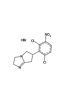 Br.O=[N+]([O-])c1ccc(Cl)c(C2CC3=NCCN3C2)c1Cl